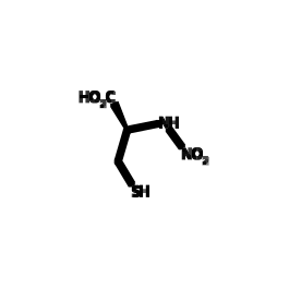 O=C(O)[C@H](CS)N[N+](=O)[O-]